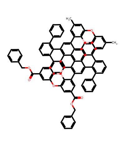 Cc1ccc2c(c1)Oc1cc(C)cc3c1B2c1cc2c(-c4c(-c5ccccc5)cccc4-c4ccccc4)cc4c5c(cc6c(-c7c(-c8ccccc8)cccc7-c7ccccc7)cc-3c1c6c25)B1c2ccc(C(=O)OCc3ccccc3)cc2Oc2cc(C(=O)OCc3ccccc3)cc-4c21